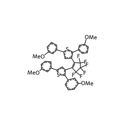 COc1cccc(-c2cc(C3=C(c4cc(-c5cccc(OC)c5)sc4-c4cccc(OC)c4)C(F)(F)C(F)(F)C3(F)F)c(-c3cccc(OC)c3)s2)c1